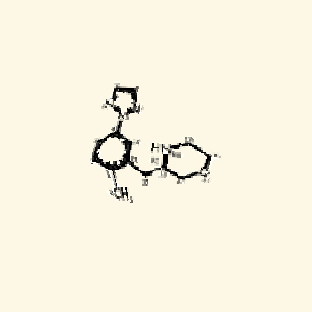 Cc1ccc(-n2nccn2)cc1C[C@@H]1COCCN1